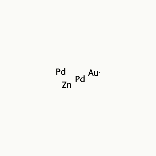 [Au].[Pd].[Pd].[Zn]